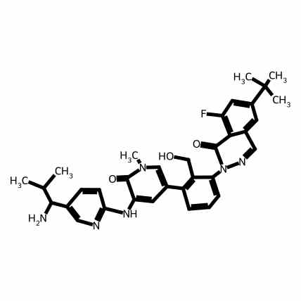 CC(C)C(N)c1ccc(Nc2cc(-c3cccc(-n4ncc5cc(C(C)(C)C)cc(F)c5c4=O)c3CO)cn(C)c2=O)nc1